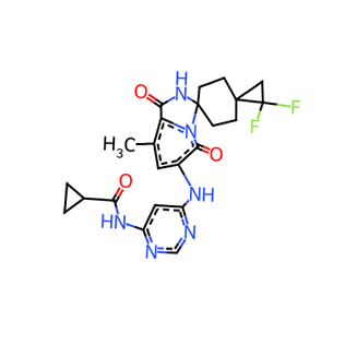 Cc1cc(Nc2cc(NC(=O)C3CC3)ncn2)c(=O)n2c1C(=O)NC21CCC2(CC1)CC2(F)F